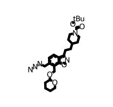 CC(C)(C)OC(=O)N1CCC(CCc2noc3c(COC4CCCCO4)c(CN=[N+]=[N-])ccc23)CC1